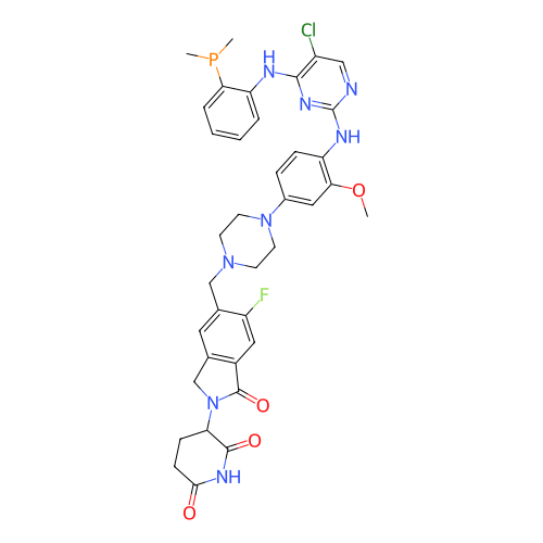 COc1cc(N2CCN(Cc3cc4c(cc3F)C(=O)N(C3CCC(=O)NC3=O)C4)CC2)ccc1Nc1ncc(Cl)c(Nc2ccccc2P(C)C)n1